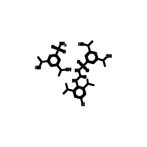 CC(C)c1cc(Cl)cc(C(C)C)c1NC(=O)NS(=O)(=O)c1cc(C(C)O)cc(C(C)O)c1.CC(O)c1cc(C(C)O)cc(S(N)(=O)=O)c1